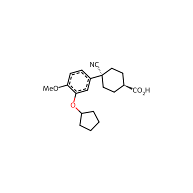 COc1ccc([C@]2(C#N)CC[C@H](C(=O)O)CC2)cc1OC1CCCC1